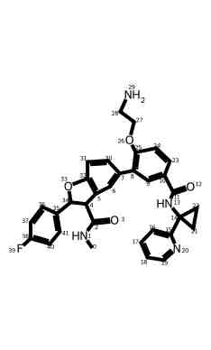 CNC(=O)C1c2cc(-c3cc(C(=O)NC4(c5ccccn5)CC4)ccc3OCCN)ccc2OC1c1ccc(F)cc1